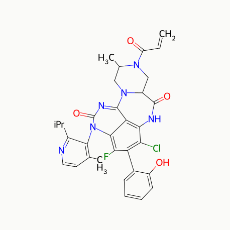 C=CC(=O)N1CC2C(=O)Nc3c(Cl)c(-c4ccccc4O)c(F)c4c3c(nc(=O)n4-c3c(C)ccnc3C(C)C)N2CC1C